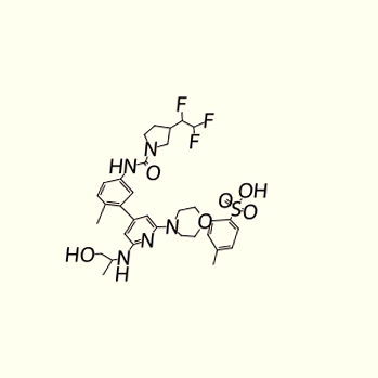 Cc1ccc(NC(=O)N2CCC(C(F)C(F)F)C2)cc1-c1cc(NC(C)CO)nc(N2CCOCC2)c1.Cc1ccc(S(=O)(=O)O)cc1